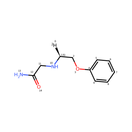 [2H][C@@H](COc1ccccc1)NCC(N)=O